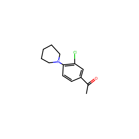 CC(=O)c1ccc(N2CCCCC2)c(Cl)c1